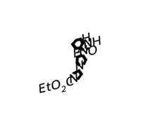 CCOC(=O)N1CC[C@H](N2CCC(N3C(=O)N[C@@H]4CCCC[C@H]43)CC2)C1